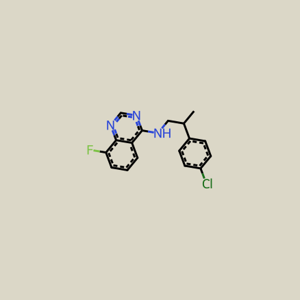 CC(CNc1ncnc2c(F)cccc12)c1ccc(Cl)cc1